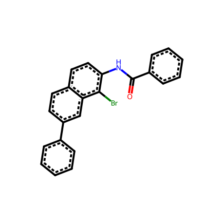 O=C(Nc1ccc2ccc(-c3ccccc3)cc2c1Br)c1ccccc1